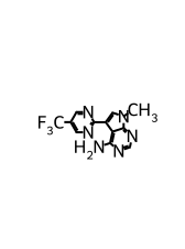 Cn1cc(-c2ncc(C(F)(F)F)cn2)c2c(N)ncnc21